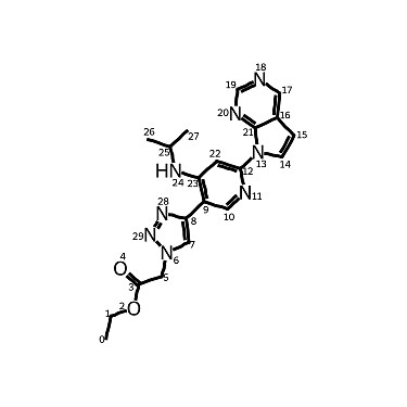 CCOC(=O)Cn1cc(-c2cnc(-n3ccc4cncnc43)cc2NC(C)C)nn1